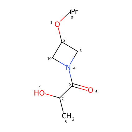 CC(C)OC1CN(C(=O)C(C)O)C1